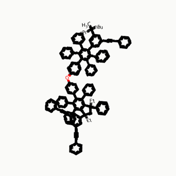 CCCCC(C)(CCC)c1cc(C#Cc2ccccc2)cc(-c2c(-c3ccccc3)c(-c3ccccc3)c(-c3ccc(Oc4ccc(-c5c(-c6ccccc6)c(-c6ccccc6)c6c(c5-c5ccccc5)C(CC)(c5ccccc5)CC6(CC)c5cc(C#Cc6ccccc6)cc(C#Cc6ccccc6)c5)cc4)cc3)c(-c3ccccc3)c2-c2ccccc2)c1